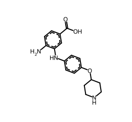 Nc1ccc(C(=O)O)cc1Nc1ccc(OC2CCNCC2)cc1